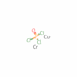 O=P(Cl)(Cl)Cl.[Cr].[Cu]